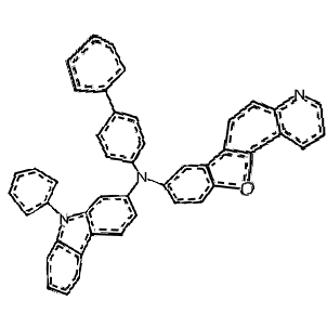 c1ccc(-c2ccc(N(c3ccc4oc5c6cccnc6ccc5c4c3)c3ccc4c5ccccc5n(-c5ccccc5)c4c3)cc2)cc1